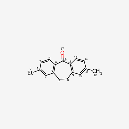 CCc1ccc2c(c1)CCc1cc(C)ccc1C2=O